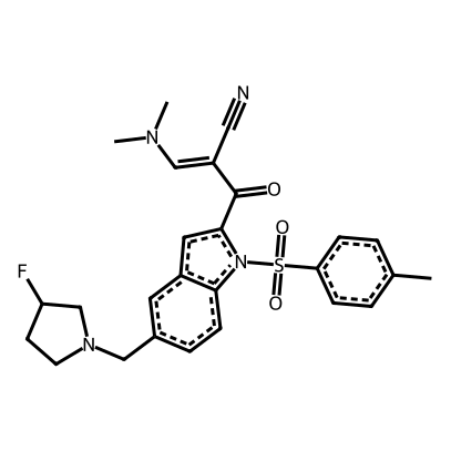 Cc1ccc(S(=O)(=O)n2c(C(=O)C(C#N)=CN(C)C)cc3cc(CN4CCC(F)C4)ccc32)cc1